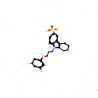 CS(=O)(=O)c1ccc2c(c1)c1c(n2CCCOc2cc(F)cc(F)c2)CCCC1